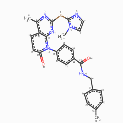 Cc1nc(Sc2nccn2C)nc2c1ccc(=O)n2-c1ccc(C(=O)NCc2ccc(C(F)(F)F)cc2)cc1